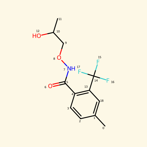 Cc1ccc(C(=O)NOCC(C)O)c(C(F)(F)F)c1